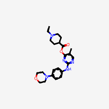 CCN1CCC(C(=O)Oc2nc(Nc3ccc(N4CCOCC4)cc3)ncc2C)CC1